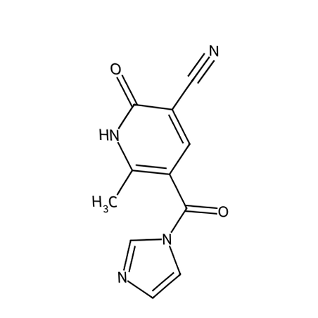 Cc1[nH]c(=O)c(C#N)cc1C(=O)n1ccnc1